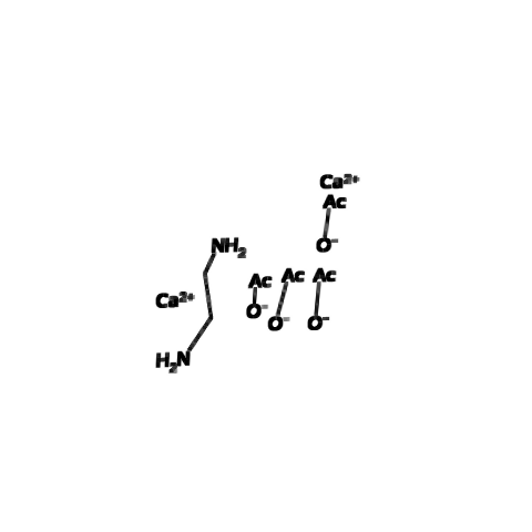 CC(=O)[O-].CC(=O)[O-].CC(=O)[O-].CC(=O)[O-].NCCN.[Ca+2].[Ca+2]